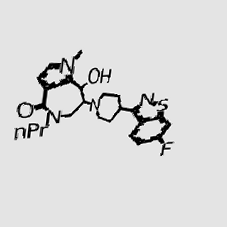 CCCN1CC(N2CCC(c3nsc4cc(F)ccc34)CC2)C(O)c2c(ccn2C)C1=O